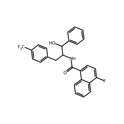 O=C(NC(Cc1ccc(C(F)(F)F)cc1)C(O)c1ccccc1)c1ccc(F)c2ccccc12